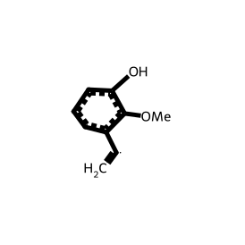 C=[C]c1cccc(O)c1OC